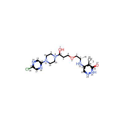 C[C@@H](COCCC(O)N1CCN(c2cnc(Cl)cn2)CC1)Nc1cn[nH]c(=O)c1C(F)(F)F